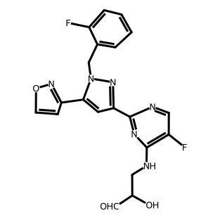 O=CC(O)CNc1nc(-c2cc(-c3ccon3)n(Cc3ccccc3F)n2)ncc1F